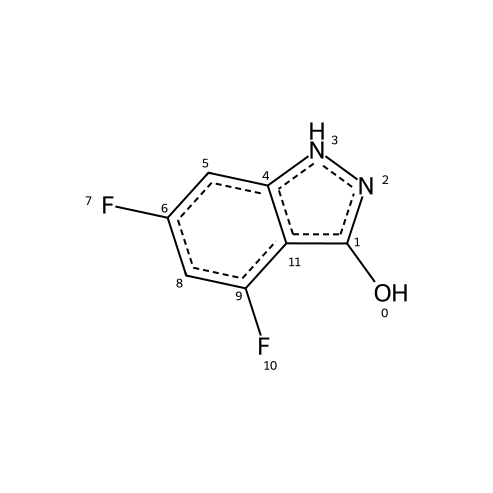 Oc1n[nH]c2cc(F)cc(F)c12